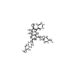 COc1ccc(CNc2nc(NCc3ccc(OC)cc3)nc(NC3NC(=O)N(c4ccccc4)C3=O)n2)cc1